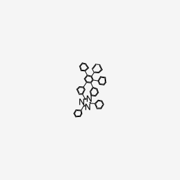 C1=C=C(c2c(-c3ccccc3)cc(-c3cccc(-c4nc(-c5ccccc5)nc(-c5ccccc5)n4)c3)c(-c3ccccc3)c2-c2ccccc2)C=CC=1